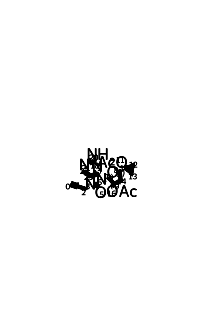 C#CCn1c(=O)n([C@@H]2O[C@H](C3(OC(C)=O)CC3)C[C@H]2OC(C)=O)c2nc(N)ncc21